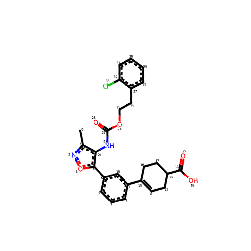 Cc1noc(-c2cccc(C3=CCC(C(=O)O)CC3)c2)c1NC(=O)OCCc1ccccc1Cl